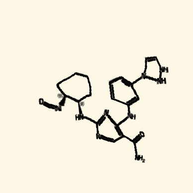 NC(=O)c1cnc(N[C@@H]2CCCC[C@@H]2N=O)nc1Nc1cccc(N2C=CNN2)c1